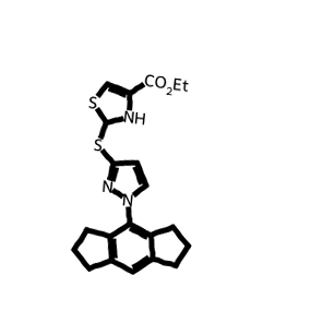 CCOC(=O)C1=CSC(Sc2ccn(-c3c4c(cc5c3CCC5)CCC4)n2)N1